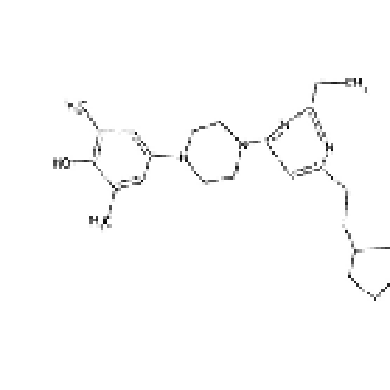 CCc1nc(CCC2CCCC2)cc(N2CCN(c3cc(C)c(O)c(C)c3)CC2)n1